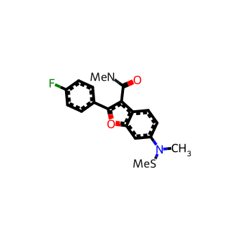 CNC(=O)c1c(-c2ccc(F)cc2)oc2cc(N(C)SC)ccc12